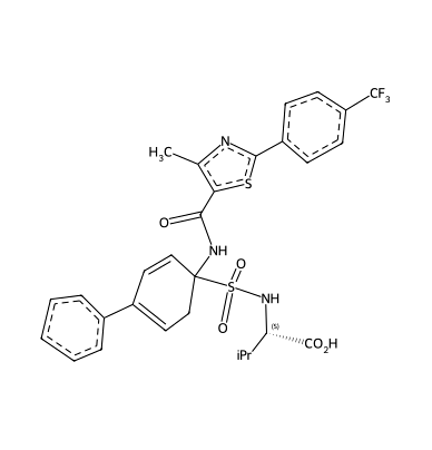 Cc1nc(-c2ccc(C(F)(F)F)cc2)sc1C(=O)NC1(S(=O)(=O)N[C@H](C(=O)O)C(C)C)C=CC(c2ccccc2)=CC1